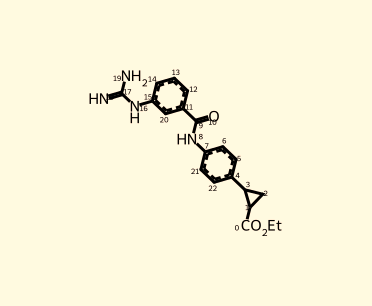 CCOC(=O)C1CC1c1ccc(NC(=O)c2cccc(NC(=N)N)c2)cc1